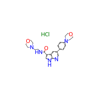 Cl.O=C(NCCN1CCOCC1)c1c[nH]c2ncc(-c3ccc(N4CCOCC4)cc3)cc12